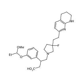 CCC(OC)Oc1cccc(C(CC(=O)O)CN2CCC(F)(CCc3ccc4c(n3)NCCC4)C2)c1